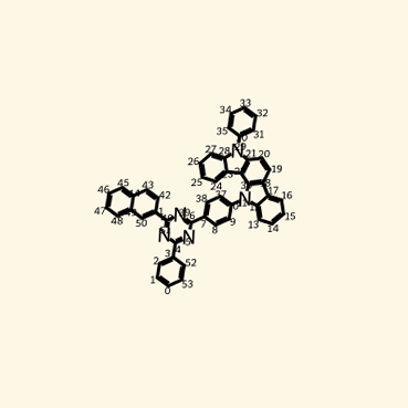 c1ccc(-c2nc(-c3ccc(-n4c5ccccc5c5ccc6c(c7ccccc7n6-c6ccccc6)c54)cc3)nc(-c3ccc4ccccc4c3)n2)cc1